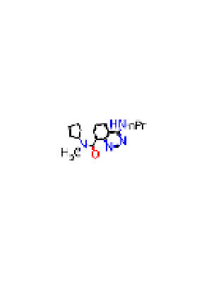 CCCNc1ncnc2c(C(=O)N(C)C3CCCC3)cccc12